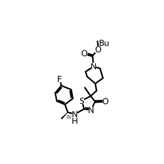 C[C@H](NC1=NC(=O)C(C)(CC2CCN(C(=O)OC(C)(C)C)CC2)S1)c1ccc(F)cc1